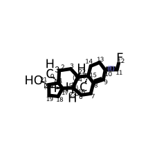 C[C@]12CC[C@H]3[C@@H](CCC4=C/C(=C/F)CC[C@@]43C)[C@@H]1CC[C@@H]2O